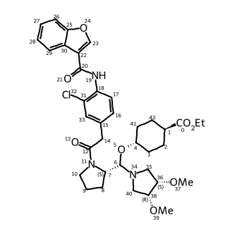 CCOC(=O)[C@H]1CC[C@H](OC([C@@H]2CCCN2C(=O)Cc2ccc(NC(=O)c3coc4ccccc34)c(Cl)c2)N2C[C@H](OC)[C@H](OC)C2)CC1